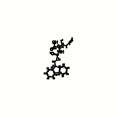 C#CC[C@H](C)[C@@H](NC(=O)OCC1c2ccccc2-c2ccccc21)C(=O)O